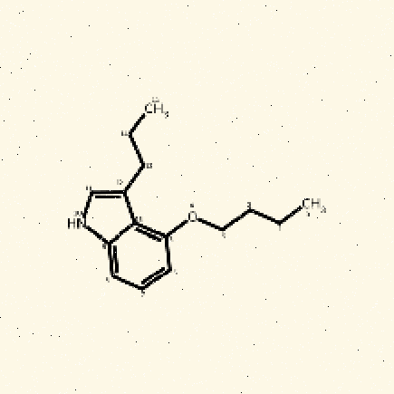 CCCCOc1cccc2[nH]cc(CCC)c12